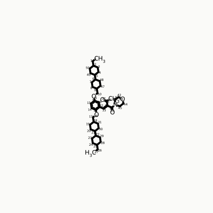 CCC1CCC(C2CCC(COc3ccc(OCC4CCC(C5CCC(CC)CC5)CC4)c(/C=C(\C(C)=O)C(=O)N4CCOCC4)c3)CC2)CC1